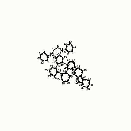 c1ccc(N2CCN(c3ccccc3)c3cc4c(cc32)-c2ccccc2-c2cccc(-c3cccc5c3sc3ccccc35)c2-c2ccccc2-4)cc1